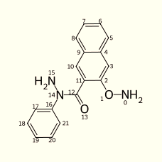 NOc1cc2ccccc2cc1C(=O)N(N)c1ccccc1